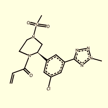 C=CC(=O)N1CCN(S(C)(=O)=O)C[C@H]1c1cc(Cl)cc(-c2nnn(C)n2)c1